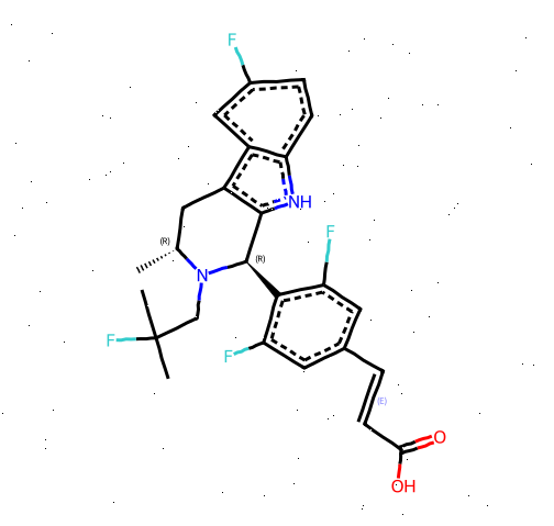 C[C@@H]1Cc2c([nH]c3ccc(F)cc23)[C@@H](c2c(F)cc(/C=C/C(=O)O)cc2F)N1CC(C)(C)F